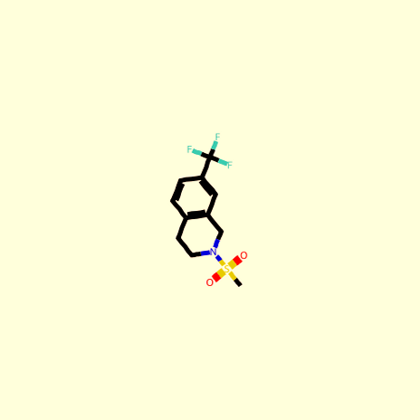 CS(=O)(=O)N1CCc2ccc(C(F)(F)F)cc2C1